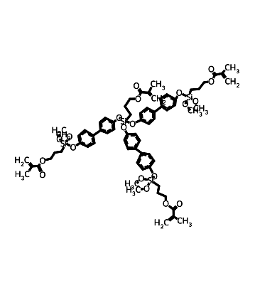 C=C(C)C(=O)OCCC[Si](OC)(OC)Oc1ccc(-c2ccc(O[Si](CCCOC(=O)C(=C)C)(Oc3ccc(-c4ccc(O[Si](CCCOC(=O)C(=C)C)(OC)OC)cc4)cc3)Oc3ccc(-c4ccc(O[Si](CCCOC(=O)C(=C)C)(OC)OC)cc4)cc3)cc2)cc1